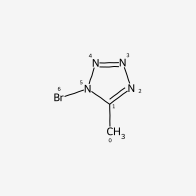 Cc1nnnn1Br